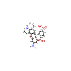 C[N+](C)=c1ccc2c(-c3cc(C(=O)O)ccc3C(=O)O)c3cc4c5c(c3oc-2c1)CCCN5CCCC4